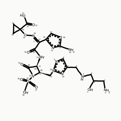 NCC(O)CNCc1cnn(C[C@@H]2[C@H](NC(=O)/C(=N\OC3(C(=O)O)CC3)c3csc(N)n3)C(=O)N2S(=O)(=O)O)n1